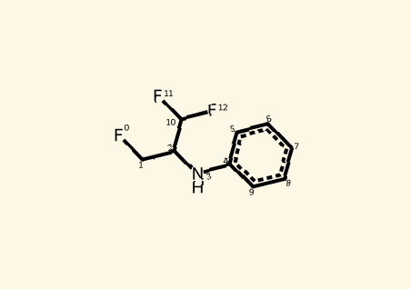 FCC(Nc1ccccc1)C(F)F